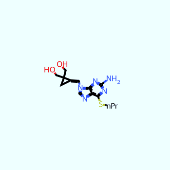 CCCSc1nc(N)nc2c1ncn2/C=C1\CC1(CO)CO